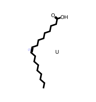 CCCCCCCC/C=C\CCCCCCCC(=O)O.[U]